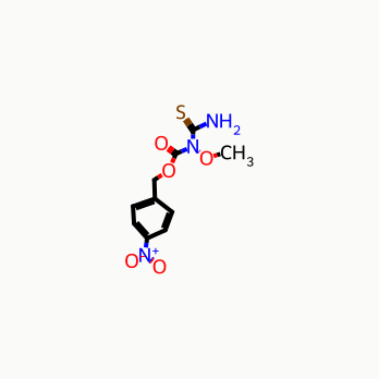 CON(C(=O)OCc1ccc([N+](=O)[O-])cc1)C(N)=S